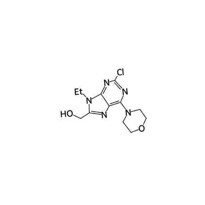 CCn1c(CO)nc2c(N3CCOCC3)nc(Cl)nc21